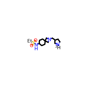 [2H]N1CCC(CN2CC3(CCC(NS(=O)(=O)CC)CC3)C2)C1